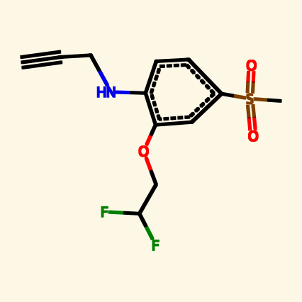 C#CCNc1ccc(S(C)(=O)=O)cc1OCC(F)F